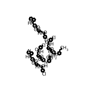 CCCc1cccc(OC2CCN(S(=O)(=O)c3ccc(CNC(=O)c4ccc(Cl)cc4)s3)CC2)c1.NS(=O)(=O)c1cccc(NC2CCN(S(=O)(=O)c3ccc(CNC(=O)c4ccc(Cl)cc4)s3)CC2)c1.O=C(NCc1ccc(S(=O)(=O)N2CCC(Nc3cccc4cccnc34)CC2)s1)c1ccc(Cl)cc1.O=C(NCc1ccc(S(=O)(=O)N2CCC(Nc3cccc4ncccc34)CC2)s1)c1ccc(Cl)cc1